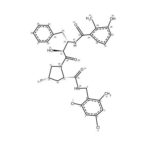 Cc1cc(Cl)cc(Cl)c1CNC(=O)[C@@H]1C[C@H](F)CN1C(=O)[C@@H](O)[C@H](Cc1ccccc1)NC(=O)c1cccc(O)c1C